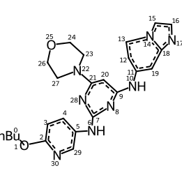 CCCCOc1ccc(Nc2nc(Nc3ccn4ccnc4c3)cc(N3CCOCC3)n2)cn1